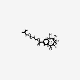 C=C(C)COOCCOC(=O)c1cc2cc(c1)C(=O)C(C)C(C)(C)C(=O)N2